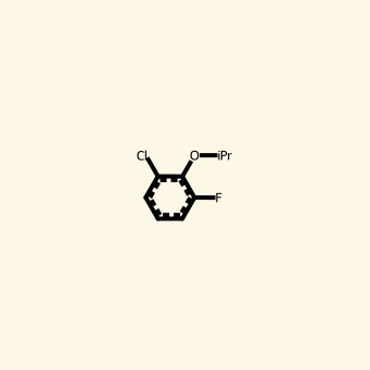 CC(C)Oc1c(F)cccc1Cl